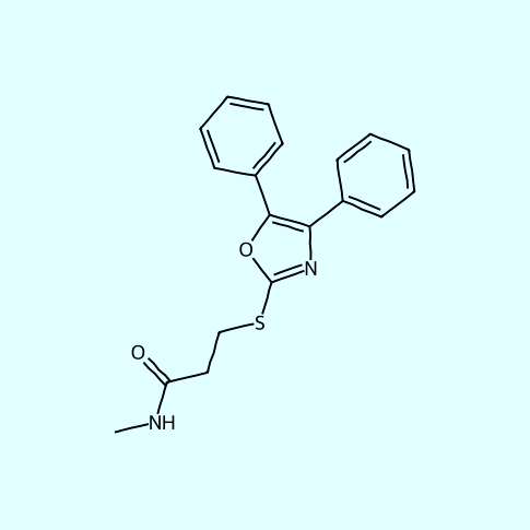 CNC(=O)CCSc1nc(-c2ccccc2)c(-c2ccccc2)o1